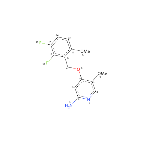 COc1cnc(N)cc1OCc1c(OC)ccc(F)c1F